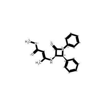 COC(=O)C=C(C)N[C@H]1C(=O)N(c2ccccc2)[C@H]1c1ccccc1